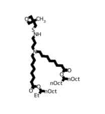 CCCCCCCCC(CC)OC(=O)CCCCCCCN(CCCCCCCC(=O)OC(CCCCCCCC)CCCCCCCC)CCCNSCC1(C)COC1